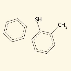 Cc1ccccc1S.c1ccccc1